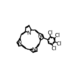 Clc1cc(C2=CC3=CC4=NC(=CC5=NC(=CC6=NC(=CC2=N3)C=C6)C=C5)C=C4)c(Cl)c(Cl)c1Cl